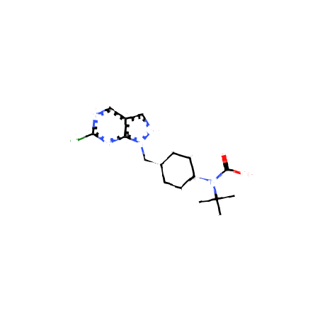 CC(C)(C)N(C(=O)O)[C@H]1CC[C@@H](Cn2ncc3cnc(Cl)nc32)CC1